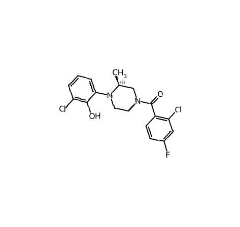 C[C@H]1CN(C(=O)c2ccc(F)cc2Cl)CCN1c1cccc(Cl)c1O